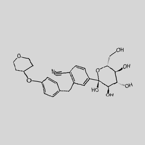 N#Cc1ccc([C@]2(O)O[C@H](CO)[C@@H](O)[C@H](O)[C@H]2O)cc1Cc1ccc(OC2CCOCC2)cc1